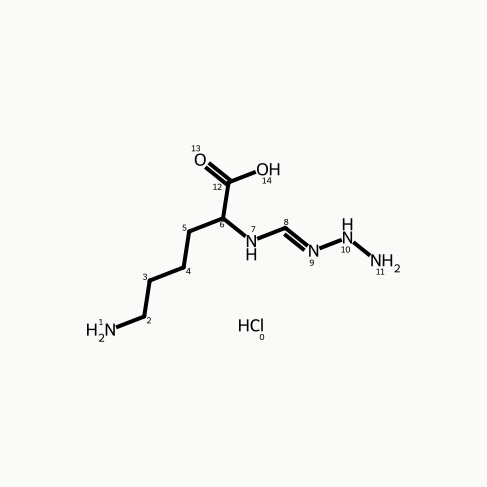 Cl.NCCCCC(NC=NNN)C(=O)O